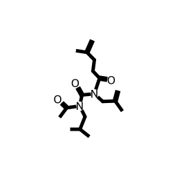 C=C(C)CCC(=O)N(CC(=C)C)C(=O)N(CC(C)C)C(C)=O